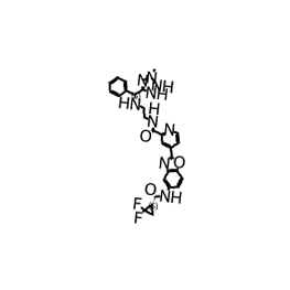 CN1N=C([C@@H](NCCNC(=O)c2cc(-c3nc4cc(NC(=O)[C@@H]5CC5(F)F)ccc4o3)ccn2)c2ccccc2)NN1